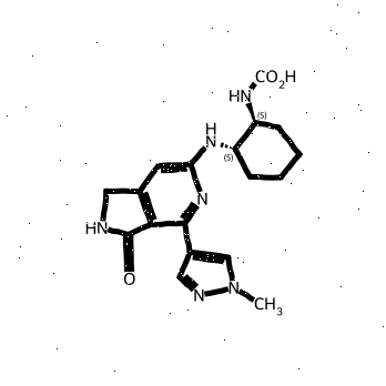 Cn1cc(-c2nc(N[C@H]3CCCC[C@@H]3NC(=O)O)cc3c2C(=O)NC3)cn1